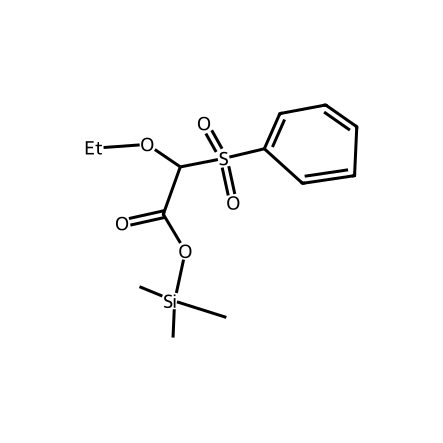 CCOC(C(=O)O[Si](C)(C)C)S(=O)(=O)c1ccccc1